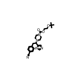 CC(C)(C)OCCOC(=O)N1CCN(C(Cc2ccc(C#N)cc2)c2cnc[nH]2)CC1